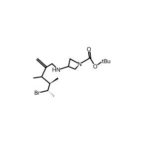 C=C(CNC1CN(C(=O)OC(C)(C)C)C1)C(C)[C@@H](C)[C@H](C)Br